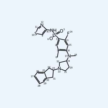 Cc1cc(S(=O)(=O)Nc2cscn2)c(F)cc1N(C)C1CCN(C2Cc3ccccc3C2)C1